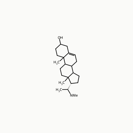 CNC(C)[C@H]1CCC2C3CC=C4CC(O)CCC4(C)C3CCC21C